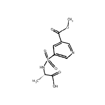 COC(=O)c1cncc(S(=O)(=O)N[C@@H](C)C(=O)O)c1